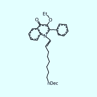 CCCCCCCCCCCCCCCCC=Cn1c(-c2ccccc2)c(OCC)c(=O)c2ccccc21